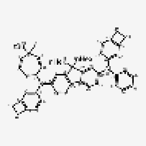 CCCCCCC1(CCCCCC)c2cc(N(C3=CC=CC(C)(C(C)(C)C)C=C3)c3ccc4c(c3)CC4)ccc2-c2ccc(N(c3ccccc3)c3ccc4c(c3)CC4)cc21